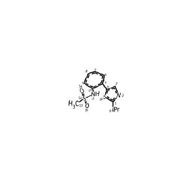 CC(C)c1ncc(-c2ccccc2NS(C)(=O)=O)s1